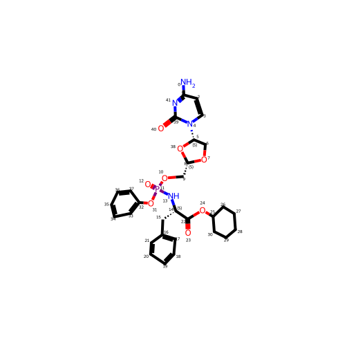 Nc1ccn([C@@H]2CO[C@H](COP(=O)(N[C@@H](Cc3ccccc3)C(=O)OC3CCCCC3)Oc3ccccc3)O2)c(=O)n1